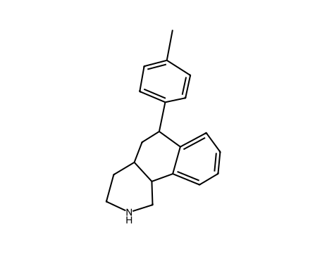 Cc1ccc(C2CC3CCNCC3c3ccccc32)cc1